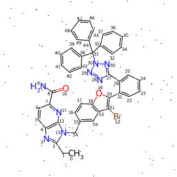 CCc1nc2ccc(C(N)=O)nc2n1Cc1ccc2oc(-c3ccccc3-c3nnn(C(c4ccccc4)(c4ccccc4)c4ccccc4)n3)c(Br)c2c1